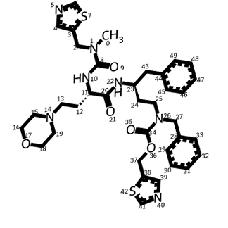 CN(Cc1cncs1)C(=O)N[C@@H](CCN1CCOCC1)C(=O)N[C@H](CCN(Cc1ccccc1)C(=O)OCc1cncs1)Cc1ccccc1